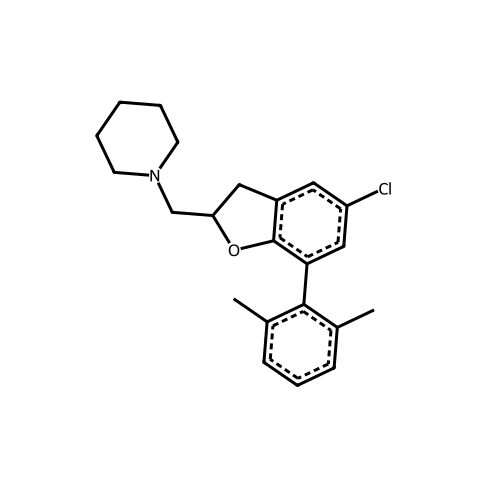 Cc1cccc(C)c1-c1cc(Cl)cc2c1OC(CN1CCCCC1)C2